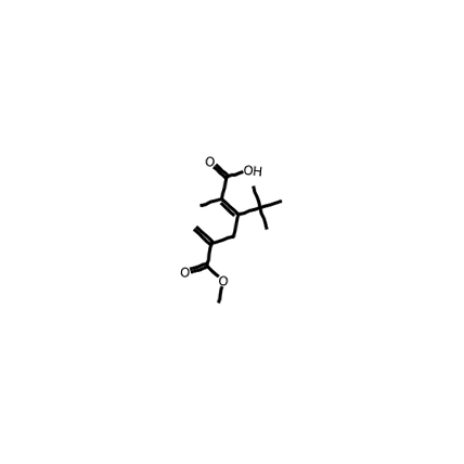 C=C(CC(=C(C)C(=O)O)C(C)(C)C)C(=O)OC